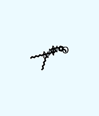 CCCCCCCCN(CCCCCCCC)CCN1CCN(Cc2ccc(OC)cc2)CC1